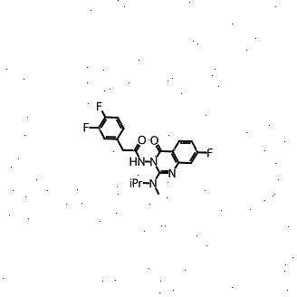 CC(C)N(C)c1nc2cc(F)ccc2c(=O)n1NC(=O)Cc1ccc(F)c(F)c1